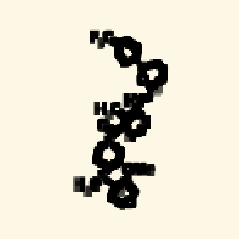 CO[C@H]1COCC[C@H]1N(C)C1CCN(C(=O)c2ncnc(NC[C@H]3CCC[C@@H](C4C=CC(C(F)(F)F)=CC4)O3)c2C)CC1